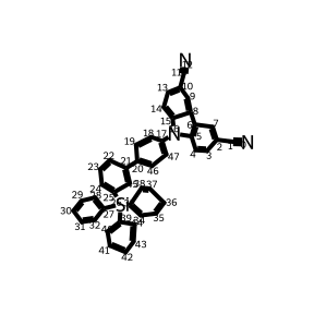 N#Cc1ccc2c(c1)c1cc(C#N)ccc1n2-c1ccc(-c2cccc([Si](c3ccccc3)(c3ccccc3)c3ccccc3)c2)cc1